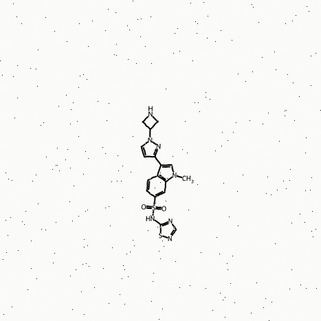 Cn1cc(-c2ccn(C3CNC3)n2)c2ccc(S(=O)(=O)Nc3ncns3)cc21